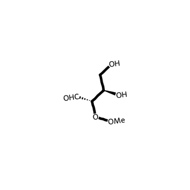 COO[C@H](C=O)[C@H](O)CO